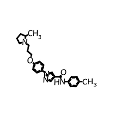 Cc1ccc(NC(=O)c2cnn(-c3ccc(OCCCN4CCCC4C)cc3)c2)cc1